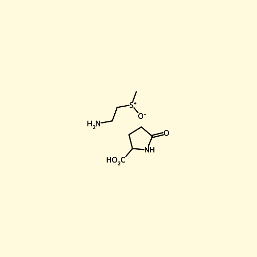 C[S+]([O-])CCN.O=C1CCC(C(=O)O)N1